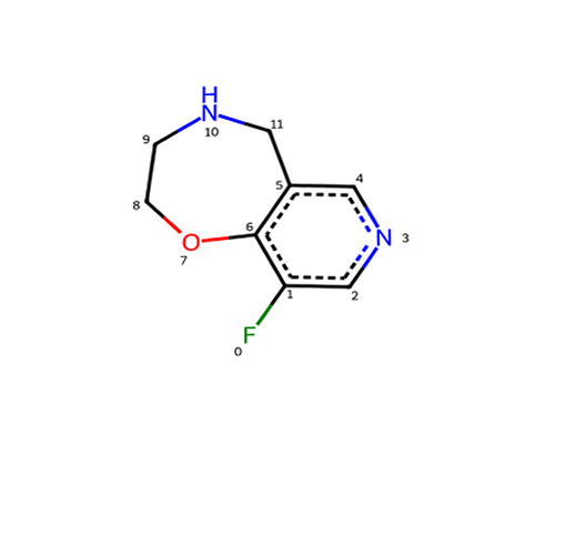 Fc1cncc2c1OCCNC2